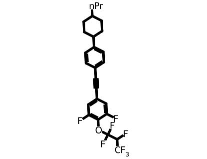 CCCC1CCC(c2ccc(C#Cc3cc(F)c(OC(F)(F)C(F)C(F)(F)F)c(F)c3)cc2)CC1